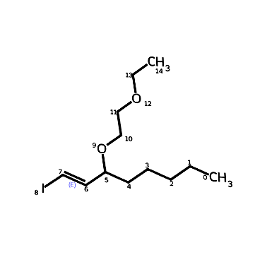 CCCCCC(/C=C/I)OCCOCC